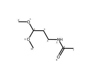 COC(CCNC(C)=O)OC